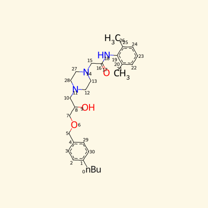 CCCCc1ccc(COCC(O)CN2CCN(CC(=O)Nc3c(C)cccc3C)CC2)cc1